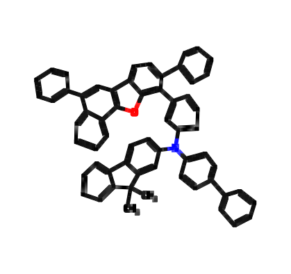 CC1(C)c2ccccc2-c2ccc(N(c3ccc(-c4ccccc4)cc3)c3cccc(-c4c(-c5ccccc5)ccc5c4oc4c6ccccc6c(-c6ccccc6)cc54)c3)cc21